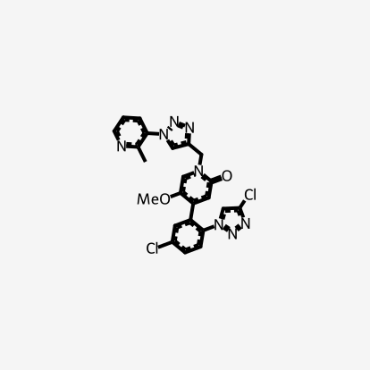 COc1cn(Cc2cn(-c3cccnc3C)nn2)c(=O)cc1-c1cc(Cl)ccc1-n1cc(Cl)nn1